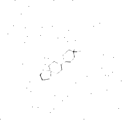 FC1(F)CCN(C2CCC3(CC2)OCCO3)CC1